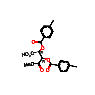 COC(=O)[C@H](OC(=O)c1ccc(C)cc1)[C@@H](OC(=O)c1ccc(C)cc1)C(=O)O